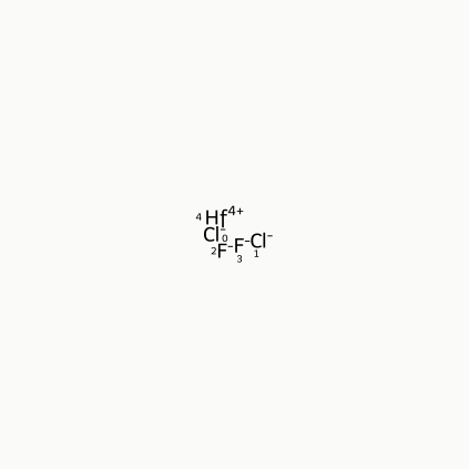 [Cl-].[Cl-].[F-].[F-].[Hf+4]